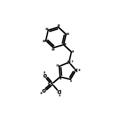 O=S(=O)(Cl)c1cnn(Cc2ccccc2)c1